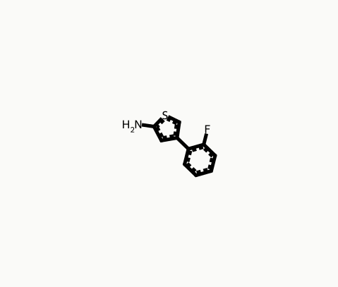 Nc1cc(-c2ccccc2F)cs1